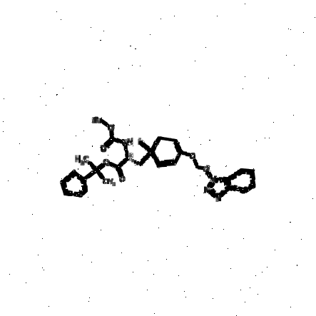 CC(C)(C)OC(=O)N[C@H](CC1(I)C=CC(OCOn2nnc3ccccc32)=CC1)C(=O)OC(C)(C)c1ccccc1